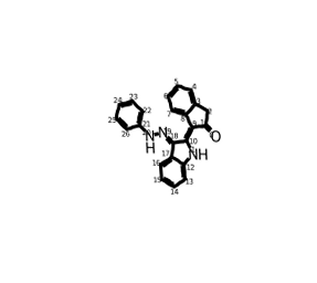 O=C1Cc2ccccc2/C1=C1/Nc2ccccc2/C1=N\Nc1ccccc1